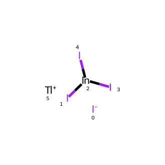 [I-].[I][In]([I])[I].[Tl+]